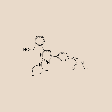 CCNC(=O)Nc1ccc(-c2cc(-c3ccccc3CO)nc(N3CCOC[C@@H]3C)n2)cc1